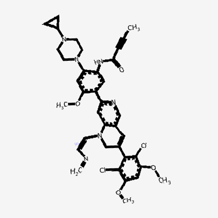 C=N/C=C\N1CC(c2c(Cl)c(OC)cc(OC)c2Cl)=Cc2cnc(-c3cc(NC(=O)C#CC)c(N4CCN(C5CC5)CC4)cc3OC)cc21